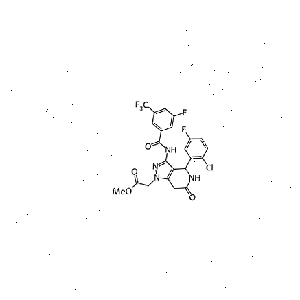 COC(=O)Cn1nc(NC(=O)c2cc(F)cc(C(F)(F)F)c2)c2c1CC(=O)NC2c1cc(F)ccc1Cl